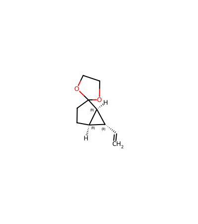 C=C[C@@H]1[C@H]2CCC3(OCCO3)[C@@H]12